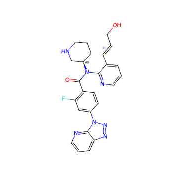 O=C(c1ccc(-n2nnc3cccnc32)cc1F)N(c1ncccc1/C=C/CO)[C@@H]1CCCNC1